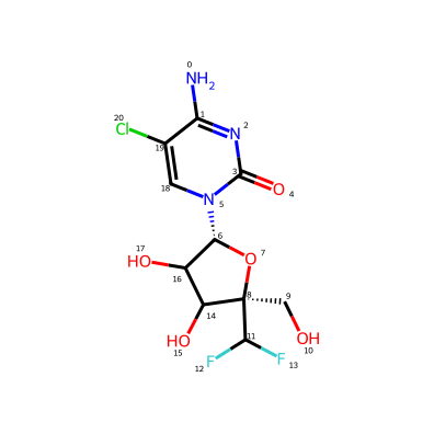 Nc1nc(=O)n([C@@H]2O[C@@](CO)(C(F)F)C(O)C2O)cc1Cl